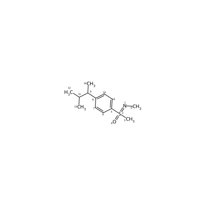 CN=S(C)(=O)c1ccc(C(C)C(C)C)cc1